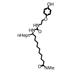 CCCCCCCC(CCCCCCCCCC(=O)NC)NC(=O)NCCOc1ccc(O)cc1